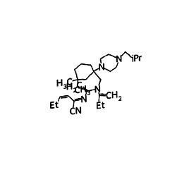 C=C(CC)N(CC1(N2CCN(CC(C)C)CC2)CCCC(C)(C)C1)C(=C)/N=C(C#N)\C=C/CC